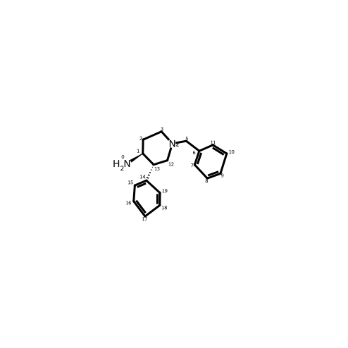 N[C@H]1CCN(Cc2ccccc2)C[C@@H]1c1ccccc1